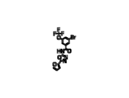 O=C(Nc1nnc(-c2ccco2)o1)c1cc(Br)cc(OC(F)(F)F)c1